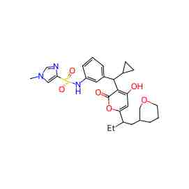 CCC(CC1CCCOC1)c1cc(O)c(C(c2cccc(NS(=O)(=O)c3cn(C)cn3)c2)C2CC2)c(=O)o1